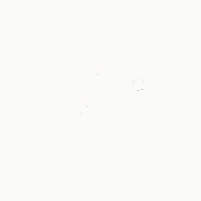 CCC(=O)OCCCOC(COC(=O)CC)OCc1ccccc1